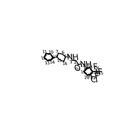 O=C(CCN[C@H]1CC[C@H](c2ccccc2)CC1)Nc1ccc(Cl)c(C(F)(F)F)c1